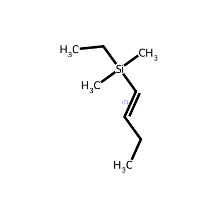 CC/C=C/[Si](C)(C)CC